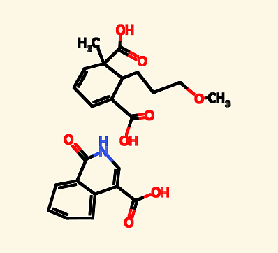 COCCCC1C(C(=O)O)=CC=CC1(C)C(=O)O.O=C(O)c1c[nH]c(=O)c2ccccc12